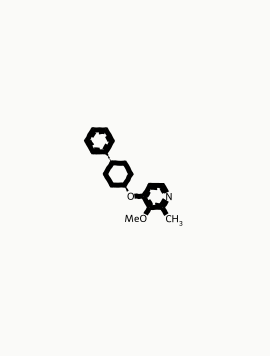 COc1c(O[C@H]2CC[C@@H](c3ccccc3)CC2)ccnc1C